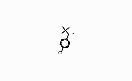 C[C@H](c1ccc(Cl)cc1)C(C)(C)C